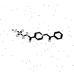 CS(=O)(=O)NNC(=O)C1=CCN(CC(=O)c2ccccc2)C=C1